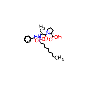 CCCCCCCCP(=O)(N[C@@H](C)C(=O)N1CCC[C@H]1C(=O)O)OCc1ccccc1